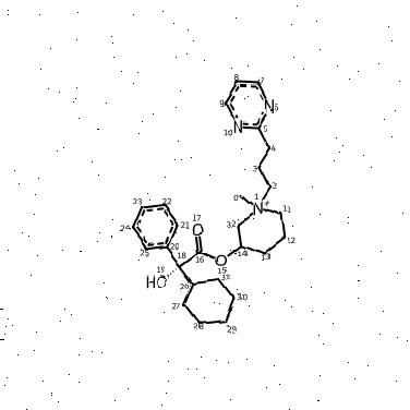 C[N+]1(CCCc2ncccn2)CCCC(OC(=O)[C@](O)(c2ccccc2)C2CCCCC2)C1